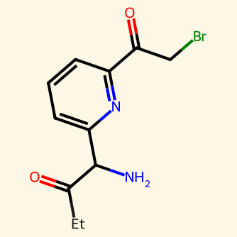 CCC(=O)C(N)c1cccc(C(=O)CBr)n1